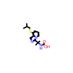 CC(C)CSc1cccn2c(C(C)(C)NC(=O)O)ncc12